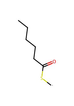 [CH2]SC(=O)CCCCC